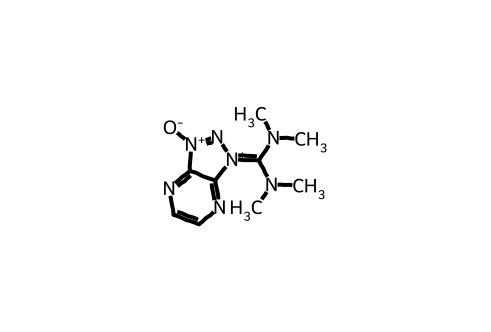 CN(C)C(N(C)C)=[N+]1N=[N+]([O-])c2nccnc21